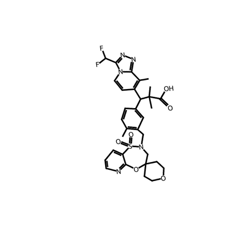 Cc1ccc(C(c2ccn3c(C(F)F)nnc3c2C)C(C)(C)C(=O)O)cc1CN1CC2(CCOCC2)Oc2ncccc2S1(=O)=O